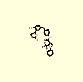 Nc1nccc(-c2cc(Oc3ccc(NC(=O)c4cnn(-c5ccccc5)c4C(F)(F)F)cc3F)ccc2O)n1